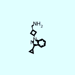 NC[C@H]1C[C@H](n2nc(C3CC3)c3ccccc32)C1